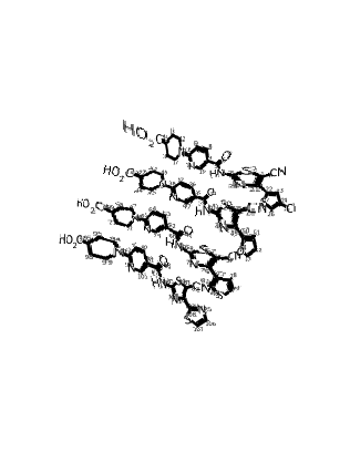 N#Cc1sc(NC(=O)c2ccc(N3CCC(C(=O)O)CC3)nc2)nc1-c1cc(Cl)cs1.N#Cc1sc(NC(=O)c2ccc(N3CCC(C(=O)O)CC3)nc2)nc1-c1ccco1.N#Cc1sc(NC(=O)c2ccc(N3CCC(C(=O)O)CC3)nc2)nc1-c1ccsc1.N#Cc1sc(NC(=O)c2ccc(N3CCC(C(=O)O)CC3)nc2)nc1-c1nccs1